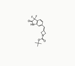 CC(C)(C)OC(=O)N1CC(=Cc2ccc3c(c2)NC(=O)C3(F)F)C1